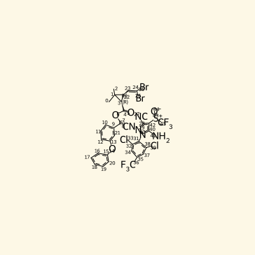 CC1(C)[C@H](C(=O)O[C@H](C#N)c2cccc(Oc3ccccc3)c2)[C@@H]1C=C(Br)Br.N#Cc1nn(-c2c(Cl)cc(C(F)(F)F)cc2Cl)c(N)c1[S+]([O-])C(F)(F)F